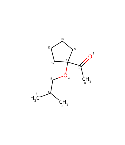 CC(=O)C1(OCC(C)C)CCCC1